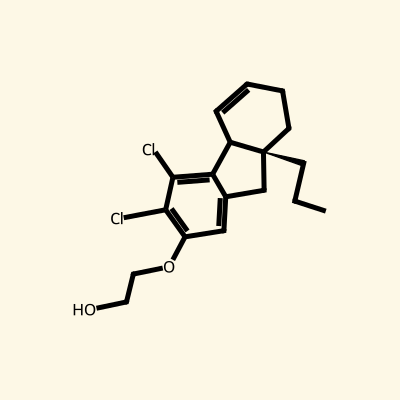 CCC[C@]12CCC=CC1c1c(cc(OCCO)c(Cl)c1Cl)C2